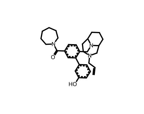 C=CCN1CCC2CCCC(C1)N2Cc1ccc(C(=O)N2CCCCCC2)cc1-c1cccc(O)c1